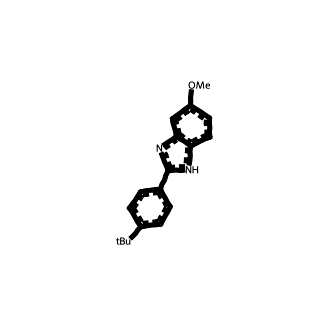 COc1ccc2[nH]c(-c3ccc(C(C)(C)C)cc3)nc2c1